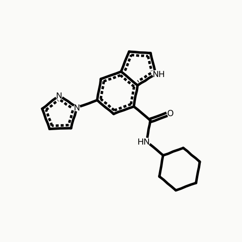 O=C(NC1CCCCC1)c1cc(-n2cccn2)cc2cc[nH]c12